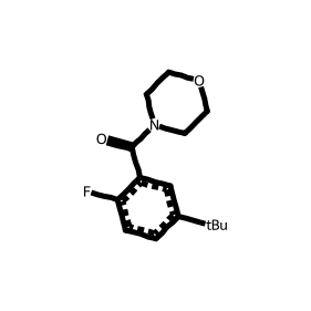 CC(C)(C)c1ccc(F)c(C(=O)N2CCOCC2)c1